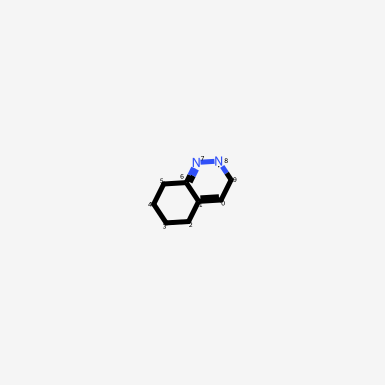 C1=C2CCCCC2=N[N]C1